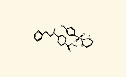 C[C@@H]1CCC[C@H](COC(=O)N2CCC(N(C)CCc3ccccc3)CC2)N1S(=O)(=O)c1ccc(Cl)cc1